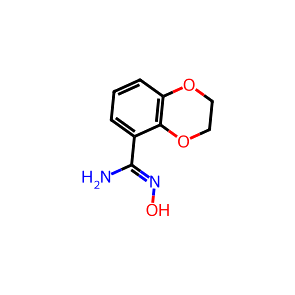 NC(=NO)c1cccc2c1OCCO2